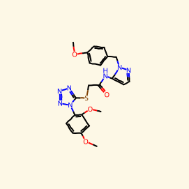 COc1ccc(Cn2nccc2NC(=O)CSc2nnnn2-c2ccc(OC)cc2OC)cc1